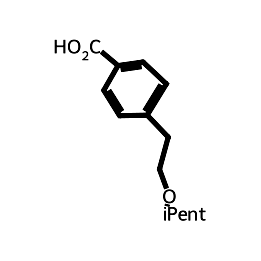 CCCC(C)OCCc1ccc(C(=O)O)cc1